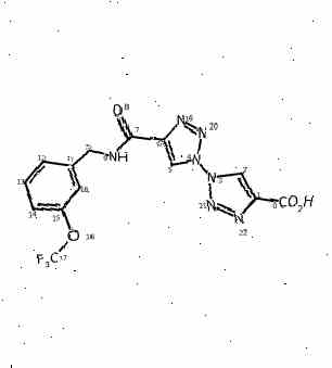 O=C(O)c1cn(-n2cc(C(=O)NCc3cccc(OC(F)(F)F)c3)nn2)nn1